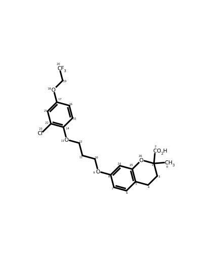 CC1(C(=O)O)CCc2ccc(OCCCOc3ccc(OCC(F)(F)F)cc3Cl)cc2O1